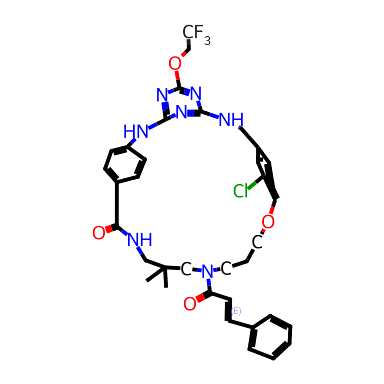 CC1(C)CNC(=O)c2ccc(cc2)Nc2nc(nc(OCC(F)(F)F)n2)NCc2ccc(c(Cl)c2)OCCCN(C(=O)/C=C/c2ccccc2)C1